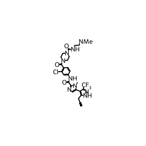 C#CCc1[nH]nc(C(F)(F)F)c1-c1cnc(C(=O)Nc2ccc(C(=O)N3CCN(C(=O)NCCNC)CC3)c(Cl)c2)n1C